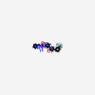 O=C(NCc1ccccn1)Nc1cc(N2CC(c3cccc(C(F)(F)F)c3)CC2=O)ccn1